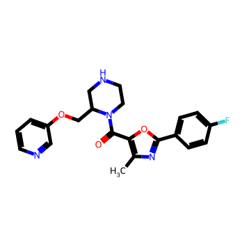 Cc1nc(-c2ccc(F)cc2)oc1C(=O)N1CCNCC1COc1cccnc1